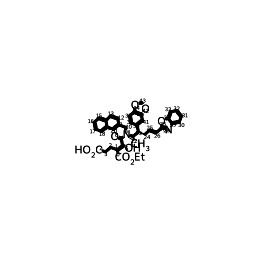 CCOC(=O)C(CCC(=O)O)=C(O)C(=O)N(Cc1ccc2ccccc2c1)[C@H](C)[C@H](CC=Cc1nc2ccccc2o1)c1ccc2c(c1)OCO2